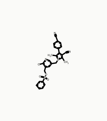 Cc1c(C#N)c(-c2ccc(C#N)cc2)c(C)n1Cc1cnc(Cl)c(COS(=O)(=O)c2ccccc2)c1